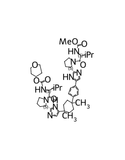 COC(=O)N[C@H](C(=O)N1CCC[C@H]1c1ncc(-c2ccc(C3(C)CCC(C)(c4cnc([C@@H]5CCCN5C(=O)[C@@H](NC(=O)OC5CCOCC5)C(C)C)[nH]4)CC3)cc2)[nH]1)C(C)C